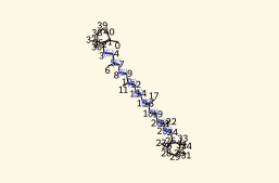 CC1=C(/C=C/C(C)=C/C=C/C(C)=C/C=C/C=C(C)/C=C/C=C(C)/C=C/C2=C(C)CCC(C)C2(C)C)C(C)(C)CCC1